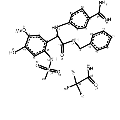 COc1cc(C(Nc2ccc(C(=N)N)cc2)C(=O)NCc2ccccc2)c(NS(C)(=O)=O)cc1O.O=C(O)C(F)(F)F